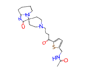 CC(=O)NCc1ccc(C(=O)CCCN2CCC3(CC2)C(=O)N=C2CCCCN23)s1